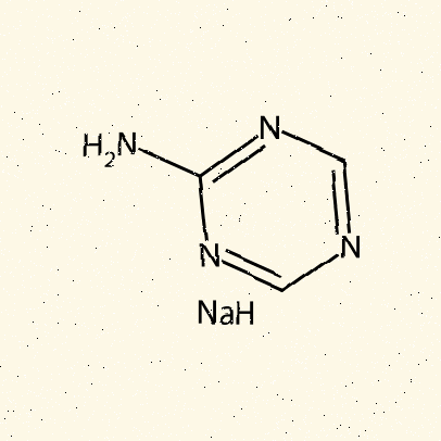 Nc1ncncn1.[NaH]